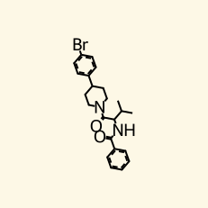 CC(C)C(NC(=O)c1ccccc1)C(=O)N1CCC(c2ccc(Br)cc2)CC1